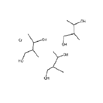 CC(O)C(C)CO.CC(O)C(C)CO.CC(O)C(C)CO.[Cr]